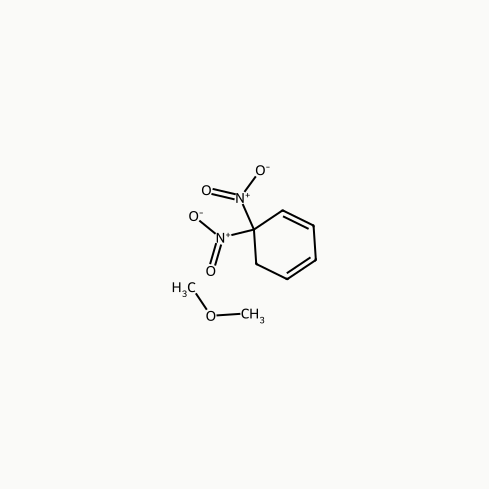 COC.O=[N+]([O-])C1([N+](=O)[O-])C=CC=CC1